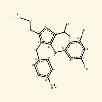 CC(C)c1nc(CCO)n(Cc2ccc(N)cc2)c1Sc1cc(F)cc(F)c1